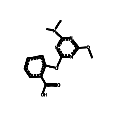 COc1nc(Oc2ccccc2C(=O)O)nc(N(C)C)n1